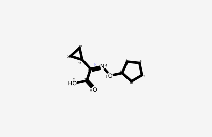 O=C(O)/C(=N\OC1CCCC1)C1CC1